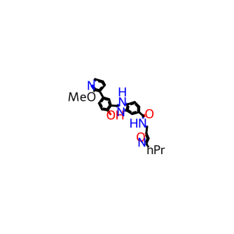 CCCc1cc(CNC(=O)c2ccc3[nH]c(-c4cc(-c5cccnc5OC)ccc4O)nc3c2)on1